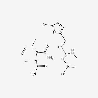 C=CC(C)N(C(N)=S)N(C)C(N)=S.CN/C(=N\[N+](=O)[O-])NCc1cnc(Cl)s1